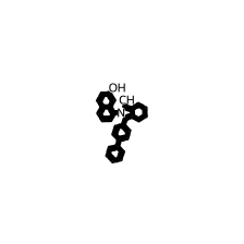 Cc1c2c(c(-c3ccc(-c4ccccc4)cc3)n1-c1cccc3ccc(O)cc13)CCCC2